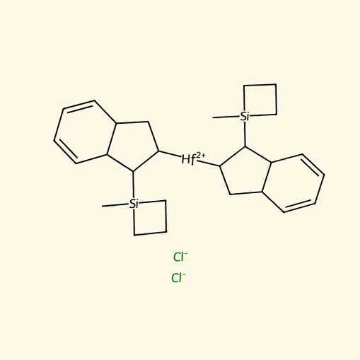 C[Si]1(C2[CH]([Hf+2][CH]3CC4C=CC=CC4C3[Si]3(C)CCC3)CC3C=CC=CC32)CCC1.[Cl-].[Cl-]